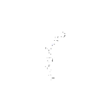 CC(=O)NC[C@H]1CN(c2cc(F)c(-c3ccc(/C=N/OC(=O)Nc4ccc(F)cc4)c(F)c3)c(F)c2)C(=O)O1